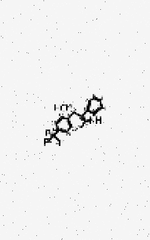 Cc1[nH]c2ccccc2c1[CH]c1ccc(C(F)(F)F)cc1.Cl